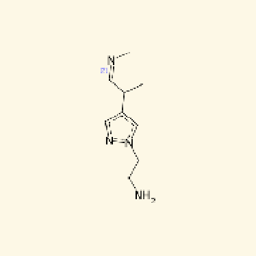 C/N=C\C(C)c1cnn(CCN)c1